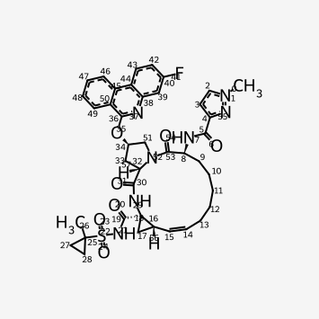 Cn1ccc(C(=O)N[C@H]2CCCCC/C=C\[C@@H]3C[C@@]3(C(=O)NS(=O)(=O)C3(C)CC3)NC(=O)[C@@H]3C[C@@H](Oc4nc5cc(F)ccc5c5ccccc45)CN3C2=O)n1